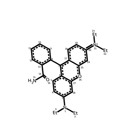 CCN(CC)c1ccc2c(-c3ccccc3C(N)=O)c3ccc(=[N+](CC)CC)cc-3oc2c1